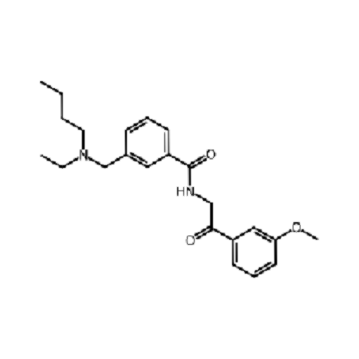 CCCCN(CC)Cc1cccc(C(=O)NCC(=O)c2cccc(OC)c2)c1